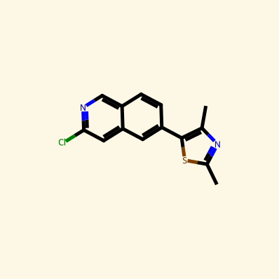 Cc1nc(C)c(-c2ccc3cnc(Cl)cc3c2)s1